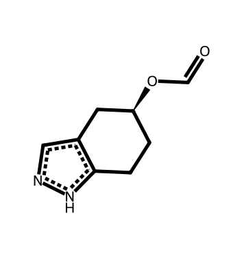 O=CO[C@H]1CCc2[nH]ncc2C1